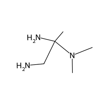 CN(C)C(C)(N)CN